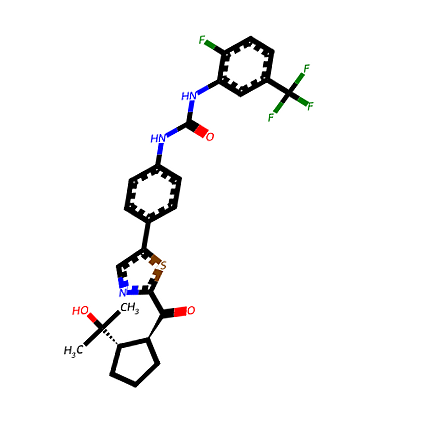 CC(C)(O)[C@H]1CCC[C@@H]1C(=O)c1ncc(-c2ccc(NC(=O)Nc3cc(C(F)(F)F)ccc3F)cc2)s1